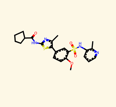 COc1ccc(-c2sc(NC(=O)C3CCCC3)nc2C)cc1S(=O)(=O)Nc1cccnc1C